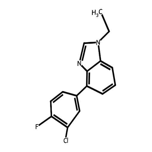 CCn1cnc2c(-c3ccc(F)c(Cl)c3)cccc21